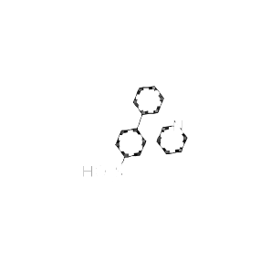 O=S(=O)(O)c1ccc(-c2ccccc2)cc1.c1ccncc1